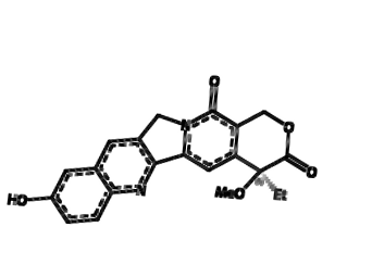 CC[C@@]1(OC)C(=O)OCc2c1cc1n(c2=O)Cc2cc3cc(O)ccc3nc2-1